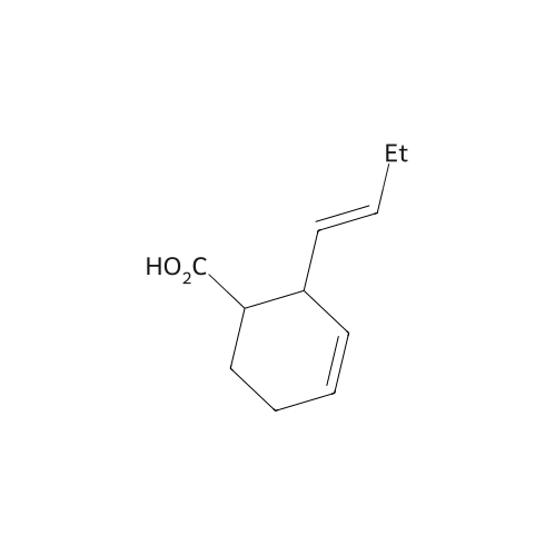 CCC=CC1C=CCCC1C(=O)O